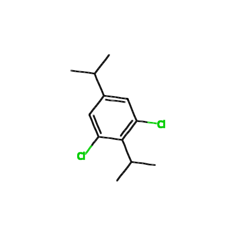 CC(C)c1cc(Cl)c(C(C)C)c(Cl)c1